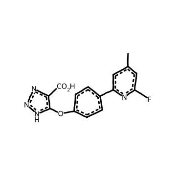 Cc1cc(F)nc(-c2ccc(Oc3[nH]nnc3C(=O)O)cc2)c1